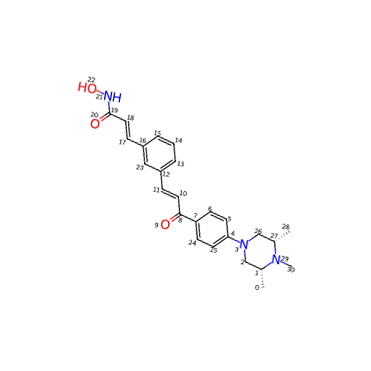 C[C@@H]1CN(c2ccc(C(=O)/C=C/c3cccc(/C=C/C(=O)NO)c3)cc2)C[C@H](C)N1C